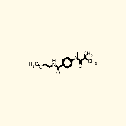 C=C(C)C(=O)Nc1ccc(C(=O)NCCOC)cc1